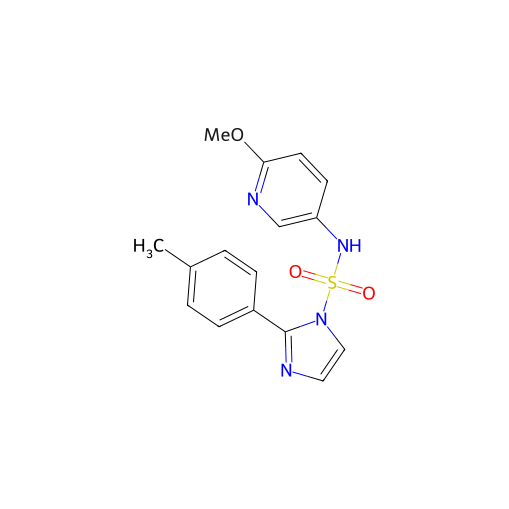 COc1ccc(NS(=O)(=O)n2ccnc2-c2ccc(C)cc2)cn1